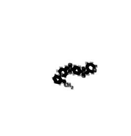 C=Cc1ccccc1N1CCC(=CS(=O)(=O)c2ccc(S(=O)(=O)CC3CCCCOC3)cc2)CC1